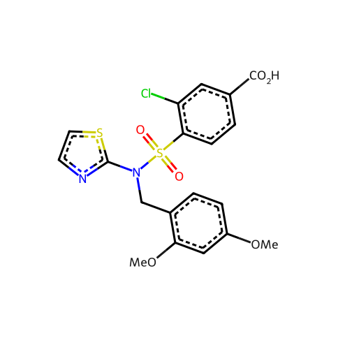 COc1ccc(CN(c2nccs2)S(=O)(=O)c2ccc(C(=O)O)cc2Cl)c(OC)c1